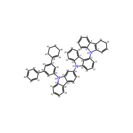 C1=Cc2c(c3ccccc3n2-c2cccc3c2c2ccccc2n3-c2ccc3c4ccccc4n(-c4cc(C5=CCCCC5)cc(-c5ccccc5)c4)c3c2)CC1